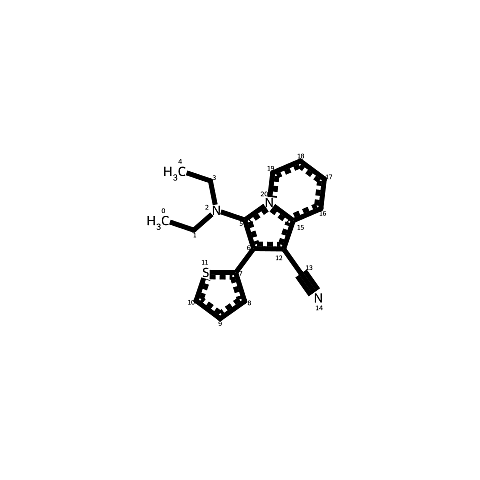 CCN(CC)c1c(-c2cccs2)c(C#N)c2ccccn12